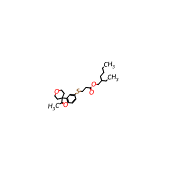 CCCCC(CC)COC(=O)CCSc1cccc(C2(C(C)=O)CCOCC2)c1